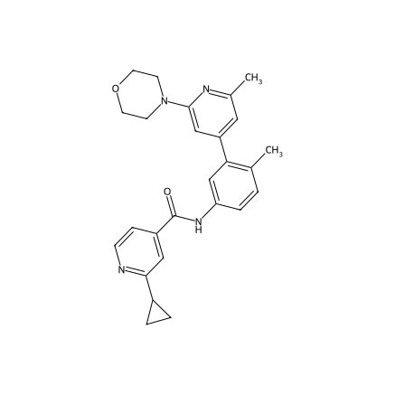 Cc1cc(-c2cc(NC(=O)c3ccnc(C4CC4)c3)ccc2C)cc(N2CCOCC2)n1